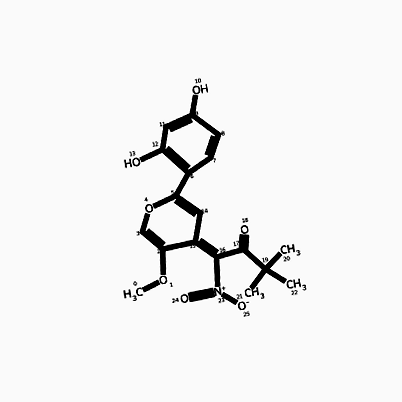 COC1=COC(c2ccc(O)cc2O)=C/C1=C(\C(=O)C(C)(C)C)[N+](=O)[O-]